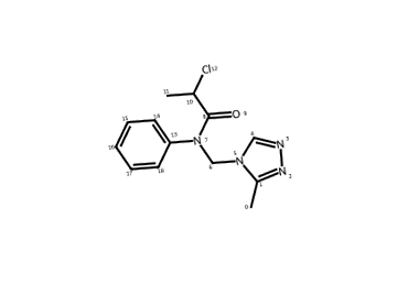 Cc1nncn1CN(C(=O)C(C)Cl)c1ccccc1